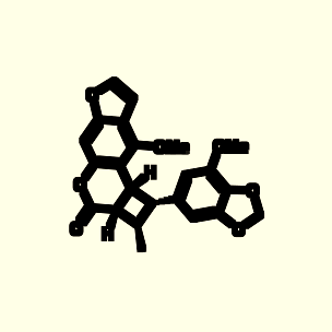 COc1cc([C@@H]2[C@@H](C)[C@@H]3C(=O)Oc4cc5occc5c(OC)c4[C@@H]32)cc2c1OCO2